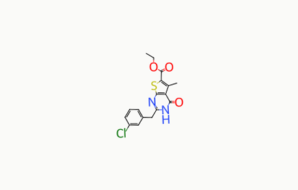 CCOC(=O)c1sc2nc(Cc3cccc(Cl)c3)[nH]c(=O)c2c1C